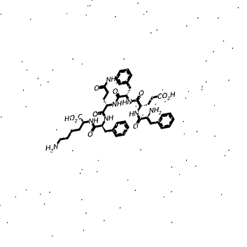 NCCCC[C@H](NC(=O)[C@H](Cc1ccccc1)NC(=O)[C@H](CCC(N)=O)NC(=O)[C@H](Cc1ccccc1)NC(=O)[C@H](CCC(=O)O)NC(=O)[C@@H](N)Cc1ccccc1)C(=O)O